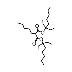 CCCCCC(C(=O)OC(CC)(CC)CCCCC)C(=O)OC(CC)(CC)CCCCC